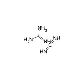 N=C(N)N.N=C=N